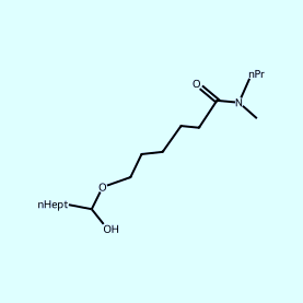 CCCCCCCC(O)OCCCCCC(=O)N(C)CCC